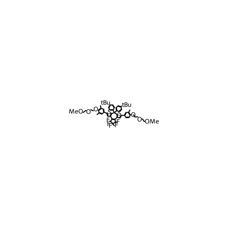 COCCOCCOc1ccc(-c2cc3c(s2)C(c2ccc(C(C)(C)C)cc2)(c2ccc(C(C)(C)C)cc2)c2sc(-c4cc(C)c(OCCOCCOC)c(C)c4)cc2C2=C3C(F)(F)C(C)(F)C2(F)F)cc1C